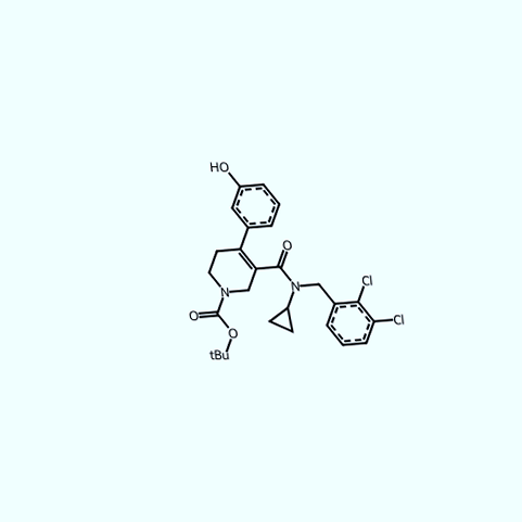 CC(C)(C)OC(=O)N1CCC(c2cccc(O)c2)=C(C(=O)N(Cc2cccc(Cl)c2Cl)C2CC2)C1